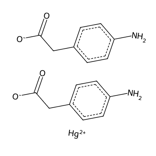 Nc1ccc(CC(=O)[O-])cc1.Nc1ccc(CC(=O)[O-])cc1.[Hg+2]